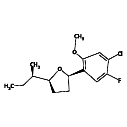 CC[C@@H](C)[C@@H]1CC[C@H](c2cc(F)c(Cl)cc2OC)O1